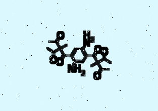 CC(=O)C(C)(C(C)=O)C(=O)c1cc(N)c(C(=O)C(C)(C(C)=O)C(C)=O)cc1N